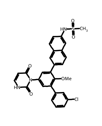 COc1c(-c2cccc(Cl)c2)cc(-n2c(=O)cc[nH]c2=O)cc1-c1ccc2cc(NS(C)(=O)=O)ccc2c1